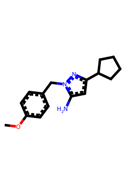 COc1ccc(Cn2nc(C3CCCC3)cc2N)cc1